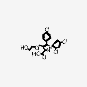 O=C(O)c1nn(-c2ccc(Cl)cc2Cl)c(-c2ccc(Cl)cc2)c1COCCO